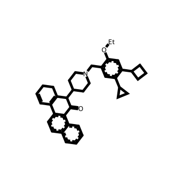 CCOc1cc(C2CCC2)c(C2CC2)cc1CN1CCC(C2C(=O)c3c(ccc4ccccc34)C3=C2CCC=C3)CC1